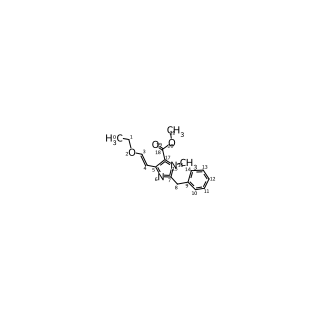 CCOC=Cc1nc(Cc2ccccc2)n(C)c1C(=O)OC